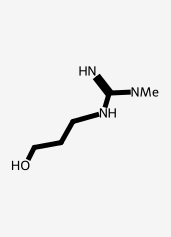 CNC(=N)NCCCO